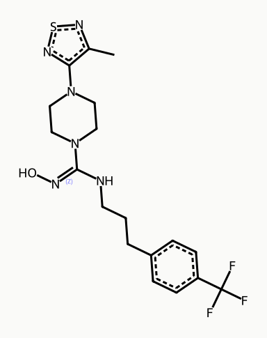 Cc1nsnc1N1CCN(/C(=N\O)NCCCc2ccc(C(F)(F)F)cc2)CC1